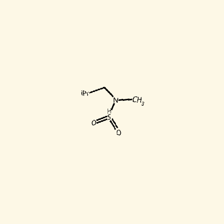 CC(C)CN(C)[SH](=O)=O